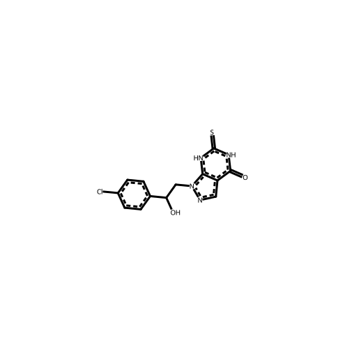 O=c1[nH]c(=S)[nH]c2c1cnn2CC(O)c1ccc(Cl)cc1